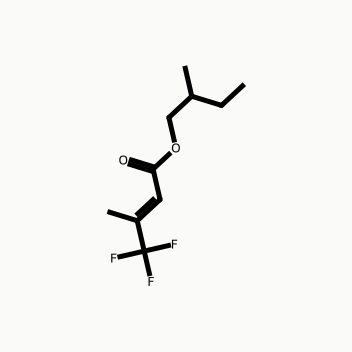 CCC(C)COC(=O)/C=C(\C)C(F)(F)F